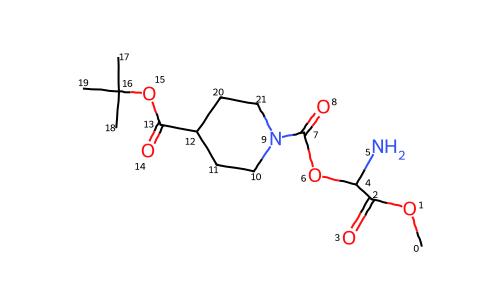 COC(=O)C(N)OC(=O)N1CCC(C(=O)OC(C)(C)C)CC1